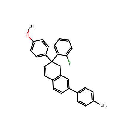 COc1ccc(C2(c3ccccc3F)C=Cc3ccc(-c4ccc(C)cc4)cc3C2)cc1